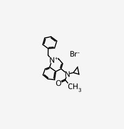 CC(=O)N(c1cc[n+](Cc2ccccc2)c2ccccc12)C1CC1.[Br-]